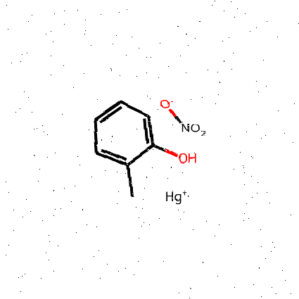 Cc1ccccc1O.O=[N+]([O-])[O-].[Hg+]